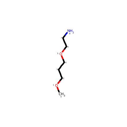 COCCCOCCN